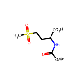 COC(=O)N[C@@H](CCS(C)(=O)=O)C(=O)O